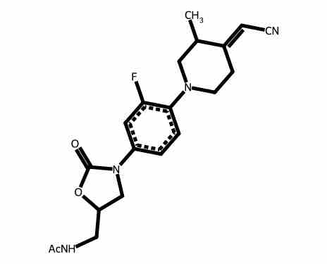 CC(=O)NCC1CN(c2ccc(N3CCC(=CC#N)C(C)C3)c(F)c2)C(=O)O1